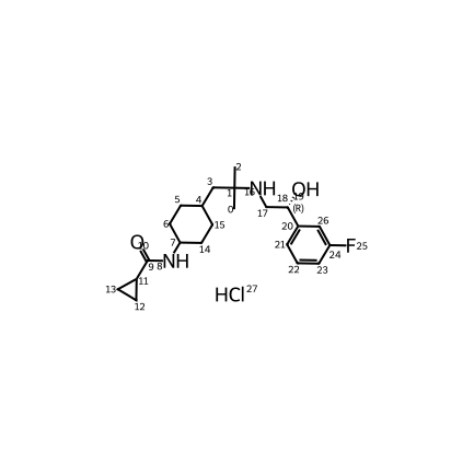 CC(C)(CC1CCC(NC(=O)C2CC2)CC1)NC[C@H](O)c1cccc(F)c1.Cl